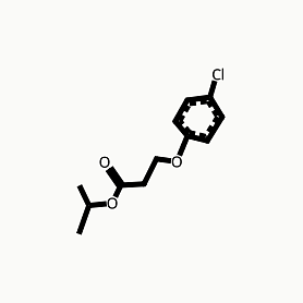 CC(C)OC(=O)CCOc1ccc(Cl)cc1